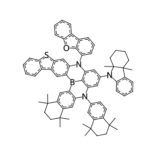 CC1(C)CCC(C)(C)c2cc(N3c4cc5c(cc4B4c6cc7c(cc6N(c6cccc8c6oc6ccccc68)c6cc(N8c9ccccc9C9(C)CCCCC89C)cc3c64)sc3ccccc37)C(C)(C)CCC5(C)C)ccc21